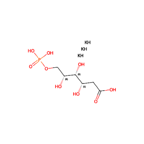 O=C(O)C[C@H](O)[C@@H](O)[C@H](O)COP(=O)(O)O.[KH].[KH].[KH]